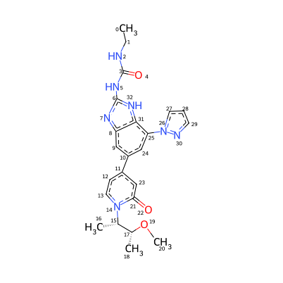 CCNC(=O)Nc1nc2cc(-c3ccn([C@@H](C)[C@@H](C)OC)c(=O)c3)cc(-n3cccn3)c2[nH]1